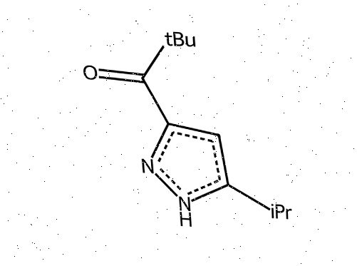 CC(C)c1cc(C(=O)C(C)(C)C)n[nH]1